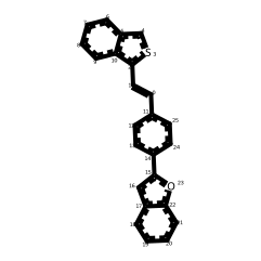 C(=Cc1scc2ccccc12)c1ccc(-c2cc3ccccc3o2)cc1